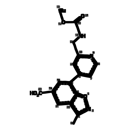 Cc1noc2c(-c3ccnc(CNC(=O)OC(C)(C)C)c3)cc(C(=O)O)cc12